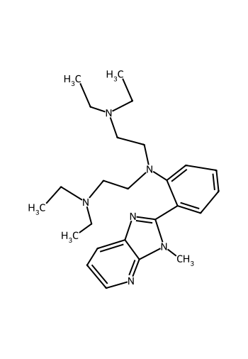 CCN(CC)CCN(CCN(CC)CC)c1ccccc1-c1nc2cccnc2n1C